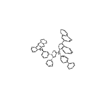 c1ccc(-c2ccc(N(c3ccc(-c4cccc(-n5c6ccccc6c6cc7ccccc7cc65)c4)c(-c4ccccc4)c3)c3ccc(-c4ccc5ccccc5c4)c4ccccc34)cc2)cc1